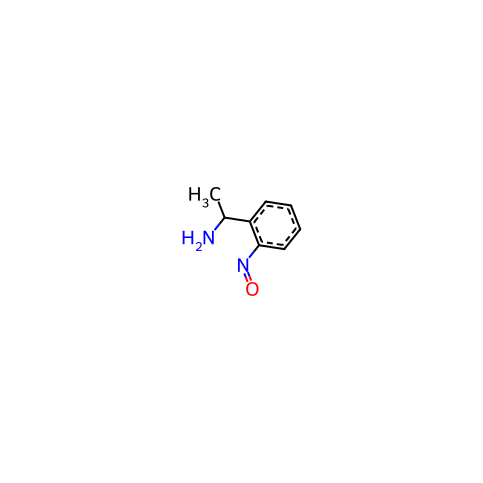 CC(N)c1ccccc1N=O